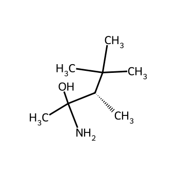 C[C@@H](C(C)(C)C)C(C)(N)O